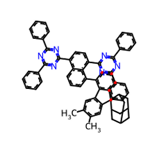 Cc1cc2c(cc1C)C1(c3cccc(-c4cccc5c(-c6nc(-c7ccccc7)nc(-c7ccccc7)n6)ccc(-c6nc(-c7ccccc7)nc(-c7ccccc7)n6)c45)c3-2)C2CC3CC(C2)CC1C3